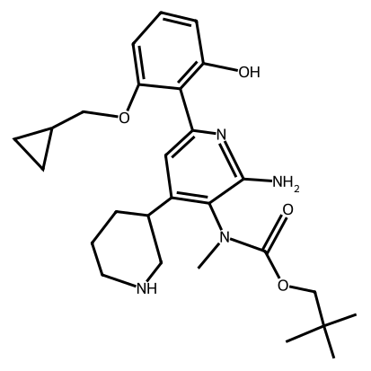 CN(C(=O)OCC(C)(C)C)c1c(C2CCCNC2)cc(-c2c(O)cccc2OCC2CC2)nc1N